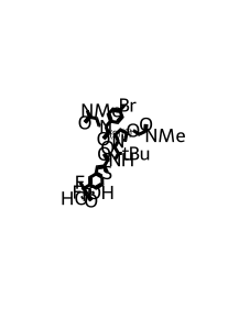 CNC(=O)CCN(C(=O)[C@@H]1C[C@H](OCC(=O)NC)CN1C(=O)C(NC(=O)c1cc2cc(C(F)(F)P(=O)(O)O)ccc2s1)C(C)(C)C)c1ccc(Br)cc1